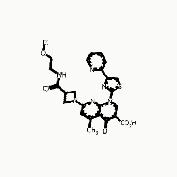 CCOCCNC(=O)C1CN(c2cc(C)c3c(=O)c(C(=O)O)cn(-c4nc(-c5ccccn5)cs4)c3n2)C1